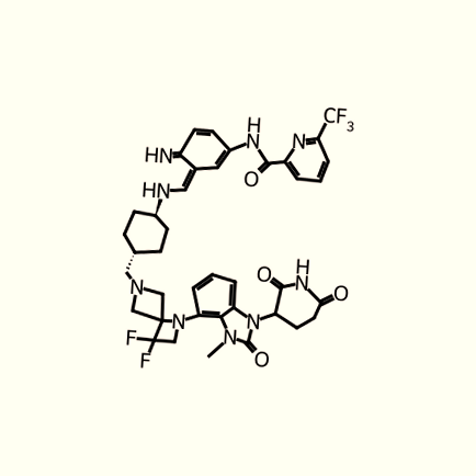 Cn1c(=O)n(C2CCC(=O)NC2=O)c2cccc(N3CC(F)(F)C34CN(C[C@H]3CC[C@H](N/C=C5/C=C(NC(=O)c6cccc(C(F)(F)F)n6)C=CC5=N)CC3)C4)c21